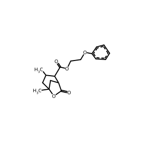 CC1CC2(C)CC(C(=O)O2)C1C(=O)OCCOc1ccccc1